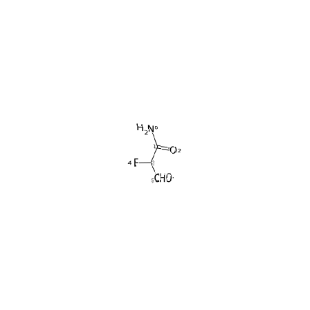 NC(=O)C(F)[C]=O